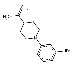 C=C(C)C1CCN(c2cccc(C(C)C)c2)CC1